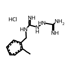 Cc1ccccc1CNC(=N)NNC(=N)N.Cl